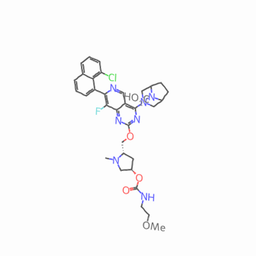 COCCNC(=O)O[C@@H]1C[C@@H](COc2nc(N3CC4CCC(C3)N4C(=O)O)c3cnc(-c4cccc5cccc(Cl)c45)c(F)c3n2)N(C)C1